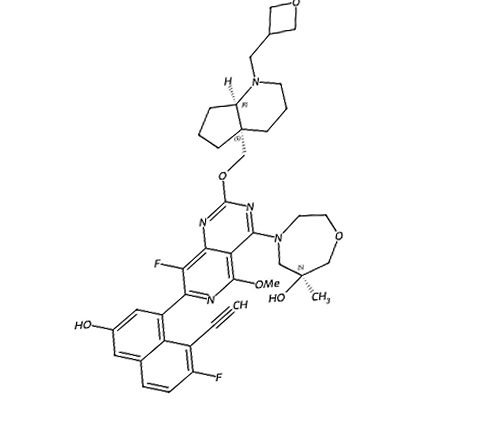 C#Cc1c(F)ccc2cc(O)cc(-c3nc(OC)c4c(N5CCOC[C@@](C)(O)C5)nc(OC[C@]56CCC[C@H]5N(CC5COC5)CCC6)nc4c3F)c12